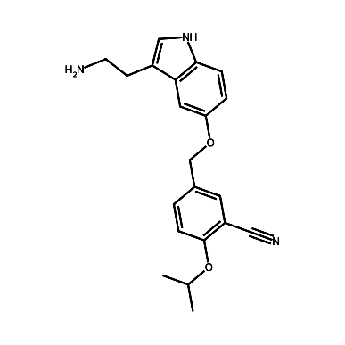 CC(C)Oc1ccc(COc2ccc3[nH]cc(CCN)c3c2)cc1C#N